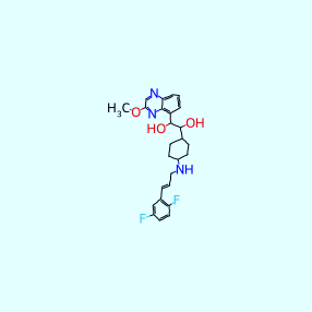 COc1cnc2cccc(C(O)C(O)C3CCC(NCC=Cc4cc(F)ccc4F)CC3)c2n1